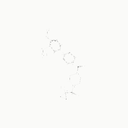 CCCNc1ccc(-c2ccc(C(=O)N3CCN(C(=O)C4(O)CC4)CC3)cc2)cc1CN